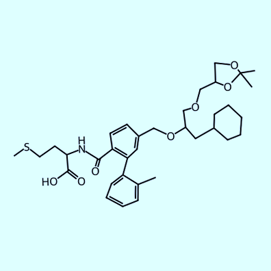 CSCCC(NC(=O)c1ccc(COC(COCC2COC(C)(C)O2)CC2CCCCC2)cc1-c1ccccc1C)C(=O)O